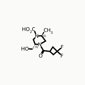 C[C@H]1CN(C(=O)C2CC(F)(F)C2)[C@H](CO)CN1C(=O)O